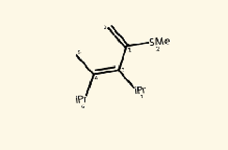 C=C(SC)/C(=C(\C)C(C)C)C(C)C